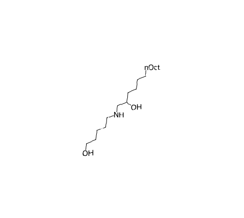 CCCCCCCCCCCCC(O)CNCCCCCO